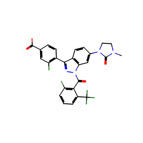 CN1CCN(c2ccc3c(-c4ccc(C(=O)O)cc4F)nn(C(=O)c4c(Cl)cccc4C(F)(F)F)c3c2)C1=O